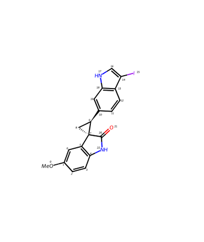 COc1ccc2c(c1)[C@]1(C[C@H]1c1ccc3c(I)c[nH]c3c1)C(=O)N2